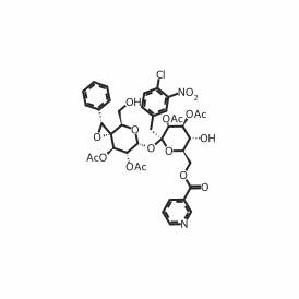 CC(=O)O[C@H]1[C@H](O)[C@@H](COC(=O)c2cccnc2)O[C@@](Cc2ccc(Cl)c([N+](=O)[O-])c2)(O[C@H]2O[C@H](CO)[C@@]3(O[C@@H]3c3ccccc3)[C@H](OC(C)=O)[C@H]2OC(C)=O)[C@@H]1OC(C)=O